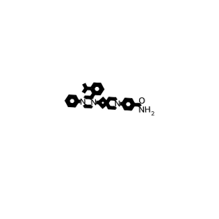 CC(C)c1ccccc1C1CN(c2ccccc2)CCN1C1CC2(CCN(c3ccc(C(N)=O)cc3)CC2)C1